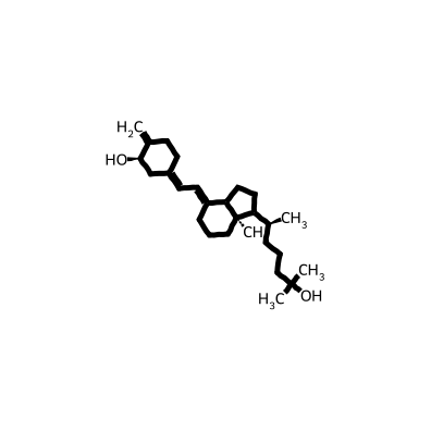 C=C1CC/C(=C\C=C2/CCC[C@@]3(C)C2CCC3[C@@H](C)CCCC(C)(C)O)C[C@H]1O